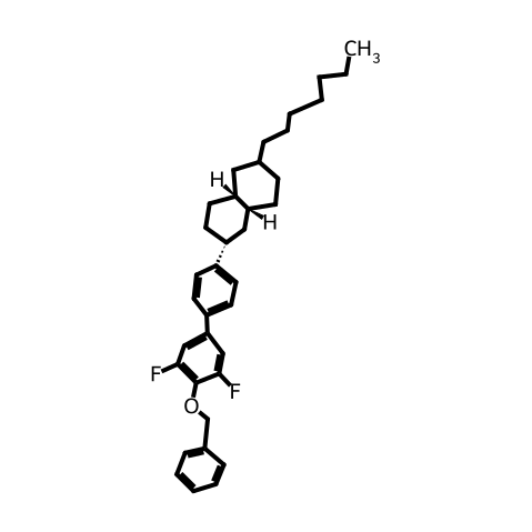 CCCCCCCC1CC[C@@H]2C[C@H](c3ccc(-c4cc(F)c(OCc5ccccc5)c(F)c4)cc3)CC[C@@H]2C1